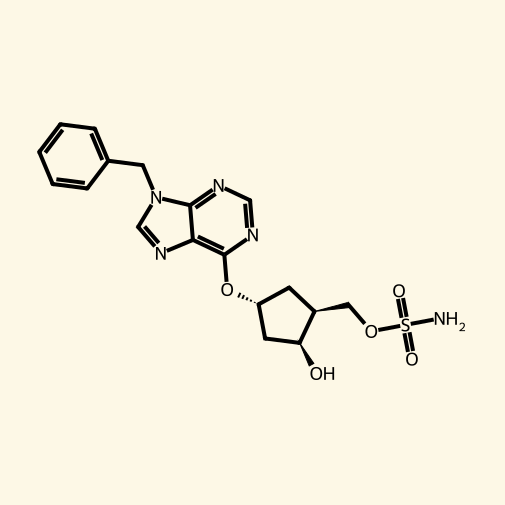 NS(=O)(=O)OC[C@@H]1C[C@@H](Oc2ncnc3c2ncn3Cc2ccccc2)C[C@@H]1O